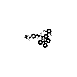 CC(C)(C)OC(=O)N1CCC(CC(=O)Nc2nn(C(c3ccccc3)(c3ccccc3)c3ccccc3)c3ccc(-c4c(Cl)cccc4Cl)cc23)CC1